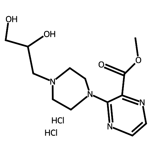 COC(=O)c1nccnc1N1CCN(CC(O)CO)CC1.Cl.Cl